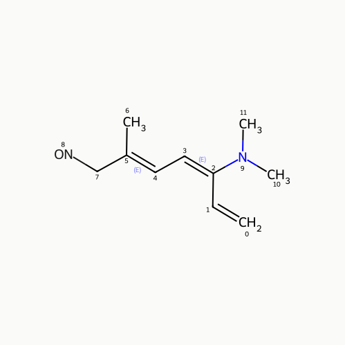 C=C/C(=C\C=C(/C)CN=O)N(C)C